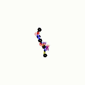 O=C(NS(=O)(=O)c1ccc(NCCSc2ccccc2)c([N+](=O)[O-])c1)c1ccc(N2CCN(C(=O)OCc3ccccc3)CC2)cc1